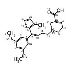 COc1cc(OC)cc(C(=CCCN2CCC=C(C(=O)O)C2)c2sccc2C)c1